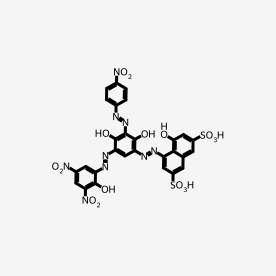 O=[N+]([O-])c1ccc(/N=N/c2c(O)c(/N=N/c3cc([N+](=O)[O-])cc([N+](=O)[O-])c3O)cc(/N=N/c3cc(S(=O)(=O)O)cc4cc(S(=O)(=O)O)cc(O)c34)c2O)cc1